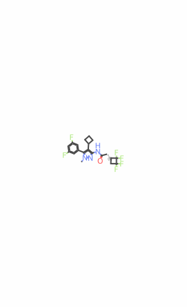 Cn1nc(NC(=O)C[C@H]2CC(F)(F)C2(F)F)c(C2CCC2)c1-c1cc(F)cc(F)c1